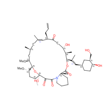 C=CC[C@@H]1/C=C(\C)C[C@H](C)C[C@H](OC)[C@H]2O[C@@](O)(C(=O)C(=O)N3CCCC[C@H]3C(=O)O[C@H](/C(C)=C/[C@@H]3CC[C@H](O)[C@H](CO)C3)[C@H](C)[C@@H](O)CC1=O)[C@H](C)C[C@@H]2OC